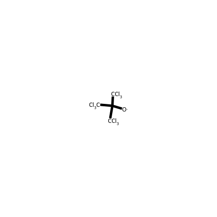 [O]C(C(Cl)(Cl)Cl)(C(Cl)(Cl)Cl)C(Cl)(Cl)Cl